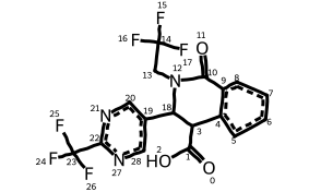 O=C(O)C1c2ccccc2C(=O)N(CC(F)(F)F)C1c1cnc(C(F)(F)F)nc1